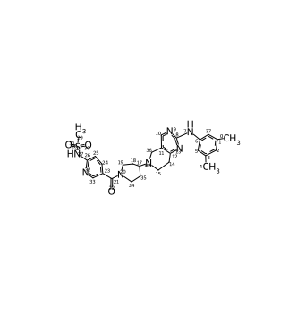 Cc1cc(C)cc(Nc2ncc3c(n2)CCN(C2CCN(C(=O)c4ccc(NS(C)(=O)=O)nc4)CC2)C3)c1